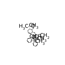 C=CC[C@@H](C[C@H]1C(C)=CC[C@H](C(C)C)[C@H]1C=O)O[Si](c1ccccc1)(c1ccccc1)C(C)(C)C